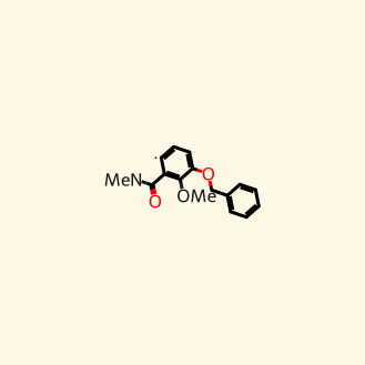 CNC(=O)c1[c]ccc(OCc2ccccc2)c1OC